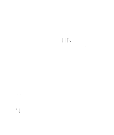 C(=C\C1CC2CCC1N2)/c1ccno1